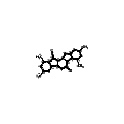 Cc1cc(C)c2c3c(=O)cc4c5cc(C)cc(C)c5c(=O)c-4c-3cc2c1